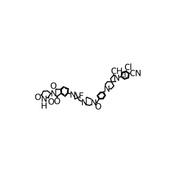 CC1CC2(CCN(c3ccc(C(=O)N4CCN(CC5(F)CN(c6ccc7c(c6)C(=O)N(C6CCC(=O)NC6=O)C7=O)C5)CC4)cc3)CC2)CN1c1ccc(C#N)c(Cl)c1